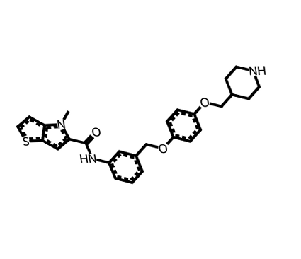 Cn1c(C(=O)Nc2cccc(COc3ccc(OCC4CCNCC4)cc3)c2)cc2sccc21